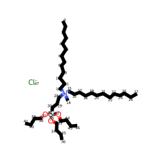 CCCCCCCCCCCCC[N+](C)(CCCCCCCCCCCCC)CCC[Si](OCCCC)(OCCCC)OCCCC.[Cl-]